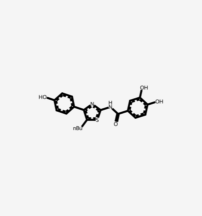 CCCCc1sc(NC(=O)c2ccc(O)c(O)c2)nc1-c1ccc(O)cc1